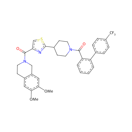 COc1cc2c(cc1OC)CN(C(=O)c1csc(C3CCN(C(=O)c4ccccc4-c4ccc(C(F)(F)F)cc4)CC3)n1)CC2